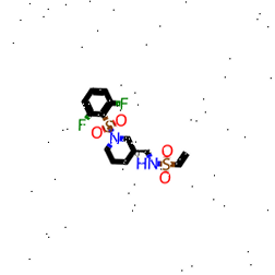 C=CS(=O)(=O)NC[C@H]1CCCN(S(=O)(=O)c2c(F)cccc2F)C1